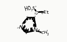 CCOS(=O)(=O)O.Cn1ccnc1